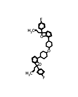 C=CCC1(c2ccc(F)cc2)Oc2c(C3CCC(OC4CCC(c5cccc6c5OC6(CC=C)c5ccc(F)cc5)CC4)CC3)cccc21